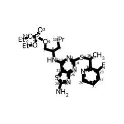 CCOP(=O)(OCC)OCC(CC(C)C)Nc1nc(SC(C)c2ncccc2F)nc2nc(N)sc12